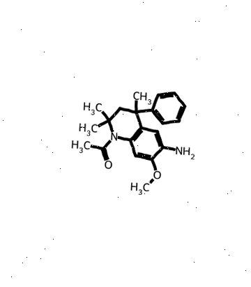 COc1cc2c(cc1N)C(C)(c1ccccc1)CC(C)(C)N2C(C)=O